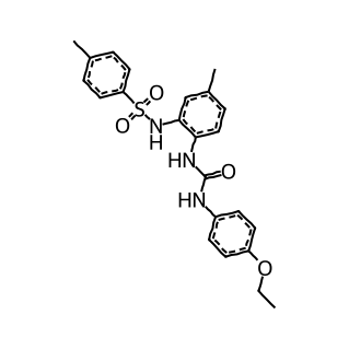 CCOc1ccc(NC(=O)Nc2ccc(C)cc2NS(=O)(=O)c2ccc(C)cc2)cc1